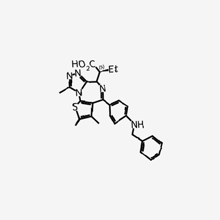 CC[C@H](C(=O)O)C1N=C(c2ccc(NCc3ccccc3)cc2)c2c(sc(C)c2C)-n2c(C)nnc21